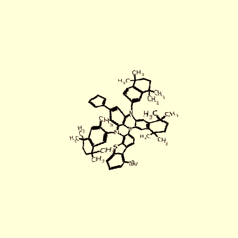 Cc1cc2c(cc1N1c3cc(-c4ccccc4)cc4c3B(c3cc5c(cc3N4c3ccc4c(c3)C(C)(C)CCC4(C)C)C(C)(C)CCC5(C)C)c3ccc4c(sc5cccc(C(C)(C)C)c54)c31)C(C)(C)CCC2(C)C